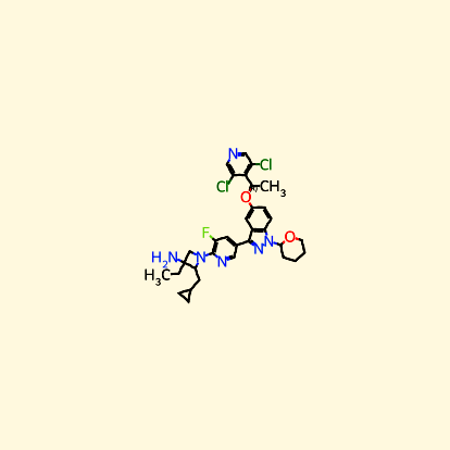 CCC1(N)CN(c2ncc(-c3nn(C4CCCCO4)c4ccc(O[C@H](C)c5c(Cl)cncc5Cl)cc34)cc2F)C1CC1CC1